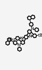 CC(C)(C)c1ccc2c(c1)c1c(N(c3ccccc3)c3ccc(-c4cccc5ccccc45)cc3)ccc3c4cc5c(cc4n2c31)c1ccc(N(c2ccccc2)c2ccc(-c3cccc4ccccc34)cc2)c2c3cc(C(C)(C)C)ccc3n5c12